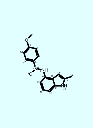 COc1ccc([S+]([O-])Nc2cccc3[nH]c(C)cc23)cc1